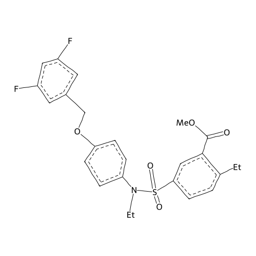 CCc1ccc(S(=O)(=O)N(CC)c2ccc(OCc3cc(F)cc(F)c3)cc2)cc1C(=O)OC